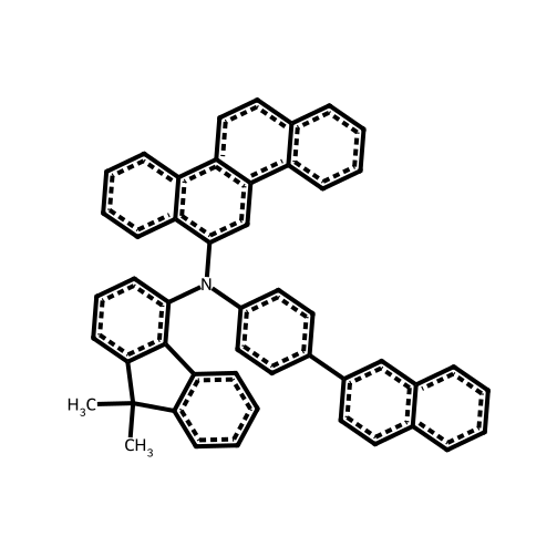 CC1(C)c2ccccc2-c2c(N(c3ccc(-c4ccc5ccccc5c4)cc3)c3cc4c5ccccc5ccc4c4ccccc34)cccc21